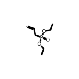 [CH]=CCP(=O)(OCC)OCC